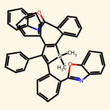 C[Si]1(C)C(c2ccccc2-c2nc3ccccc3o2)=C(c2ccccc2)C(c2ccccc2)=C1c1ccccc1-c1nc2ccccc2o1